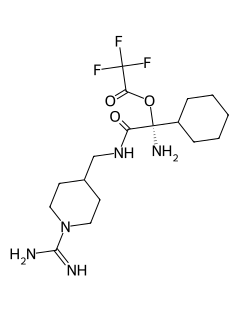 N=C(N)N1CCC(CNC(=O)[C@@](N)(OC(=O)C(F)(F)F)C2CCCCC2)CC1